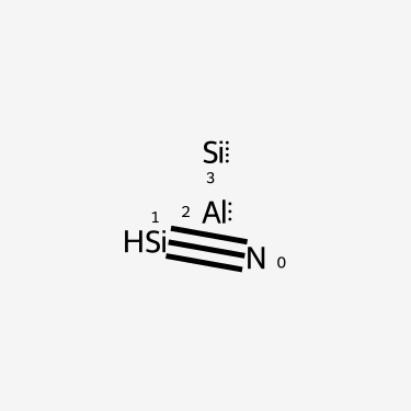 N#[SiH].[Al].[Si]